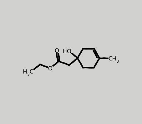 CCOC(=O)CC1(O)CC=C(C)CC1